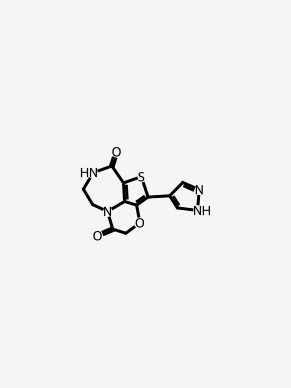 O=C1NCCN2C(=O)COc3c(-c4cn[nH]c4)sc1c32